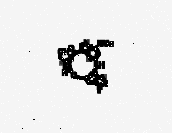 CNc1cc2nc3c(cnn13)C(=O)N1C[C@@H](C[C@H]1CO)OCc1cc(c3nnn(C)c3c1)N2